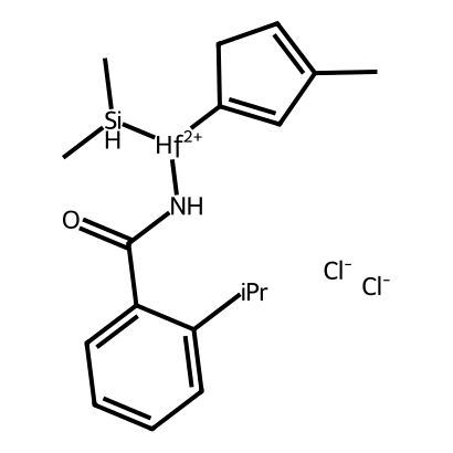 CC1=CC[C]([Hf+2]([NH]C(=O)c2ccccc2C(C)C)[SiH](C)C)=C1.[Cl-].[Cl-]